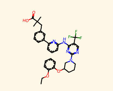 CCOc1ccccc1OC1CCCN(c2ncc(C(F)(F)F)c(Nc3cccc(-c4cccc(CC(C)(C)C(=O)O)c4)n3)n2)C1